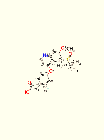 COc1cc2nccc(Oc3ccc(CC(=O)O)c(F)c3)c2cc1[S+]([O-])C(C)(C)C